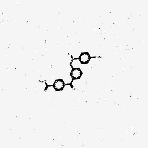 C=C(c1ccc(C(=O)OC)cc1)c1cccc(CN(C(C)=O)c2ccc(OC)cc2)c1